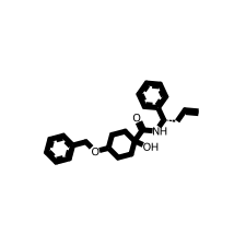 C=CC[C@H](NC(=O)C1(O)CCC(OCc2ccccc2)CC1)c1ccccc1